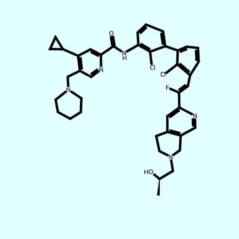 C[C@@H](O)CN1CCc2cc(/C(F)=C/c3cccc(-c4cccc(NC(=O)c5cc(C6CC6)c(CN6CCCCC6)cn5)c4Cl)c3Cl)ncc2C1